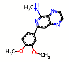 CNc1nc(-c2ccc(OC)c(OC)c2)cc2nccnc12